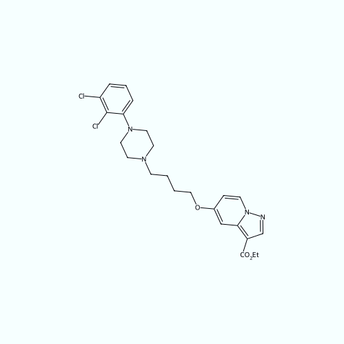 CCOC(=O)c1cnn2ccc(OCCCCN3CCN(c4cccc(Cl)c4Cl)CC3)cc12